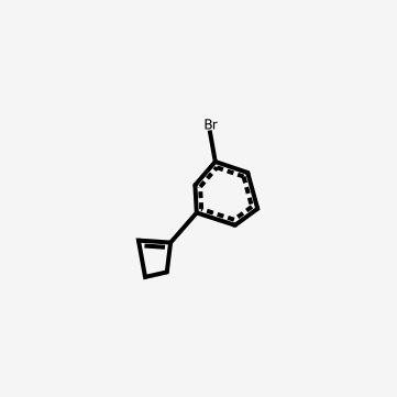 Brc1cccc(C2=CCC2)c1